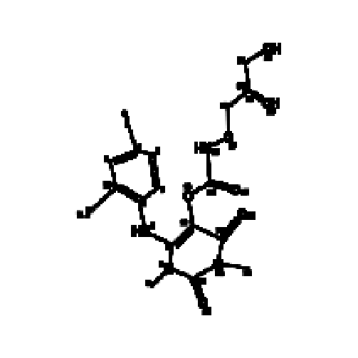 Cn1c(Nc2ccc(I)cc2F)c(OC(=O)NOC[C@H](O)CO)c(=O)n(C)c1=O